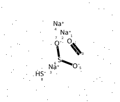 C=O.[Na+].[Na+].[Na+].[O-]S[O-].[SH-]